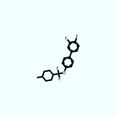 CC1CCC(C(F)(F)Oc2ccc(-c3ccc(F)c(F)c3)cc2)CC1